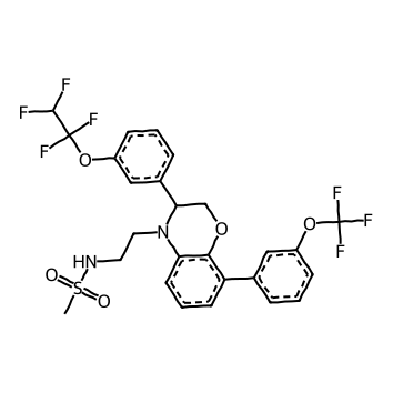 CS(=O)(=O)NCCN1c2cccc(-c3cccc(OC(F)(F)F)c3)c2OCC1c1cccc(OC(F)(F)C(F)F)c1